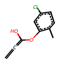 C=C=C(O)Oc1cc(Cl)ccc1C